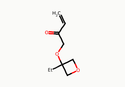 C=CC(=O)COC1(CC)COC1